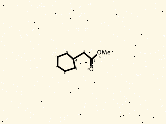 COC(=O)C[C]1CCCCC1